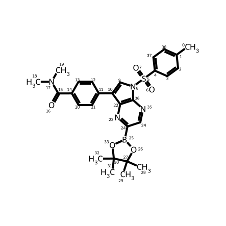 Cc1ccc(S(=O)(=O)n2cc(-c3ccc(C(=O)N(C)C)cc3)c3nc(B4OC(C)(C)C(C)(C)O4)cnc32)cc1